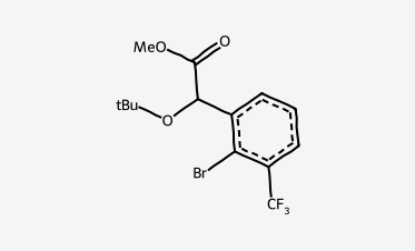 COC(=O)C(OC(C)(C)C)c1cccc(C(F)(F)F)c1Br